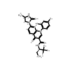 CC[C@@H](NC(=O)c1cn(-c2ccc(F)cc2F)c2nc(N3CC(C)NC3=O)ccc2c1=O)C(F)(F)F